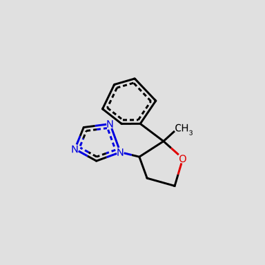 CC1(c2ccccc2)OCCC1n1cncn1